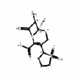 N[C@@H]1C(=O)N2C(C(=O)O)=C(C3CCCS3(=O)=O)CS[C@H]12